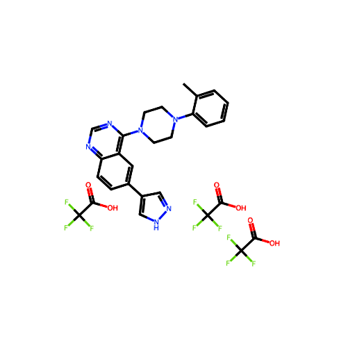 Cc1ccccc1N1CCN(c2ncnc3ccc(-c4cn[nH]c4)cc23)CC1.O=C(O)C(F)(F)F.O=C(O)C(F)(F)F.O=C(O)C(F)(F)F